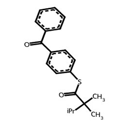 CC(C)C(C)(C)C(=O)Sc1ccc(C(=O)c2ccccc2)cc1